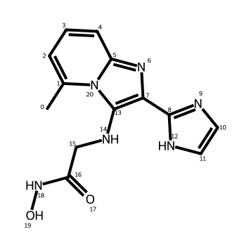 Cc1cccc2nc(-c3ncc[nH]3)c(NCC(=O)NO)n12